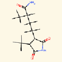 CC(C)(C)C1C(=O)NC(=O)C1C(C)(C)C(C)(C)C(C)(C(N)=O)C(C)(C)C